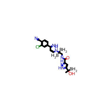 BC(B)(CNC(=O)c1cc(C(B)(C)O)[nH]n1)N/C=C\C(=N)c1ccc(C#N)c(Cl)c1